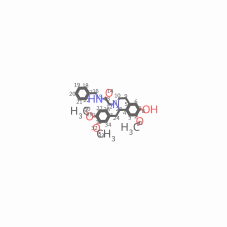 COc1cc2c(cc1O)CCN(CC(=O)NCc1ccccc1)C2Cc1ccc(OC)c(OC)c1